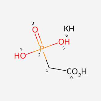 O=C(O)CP(=O)(O)O.[KH]